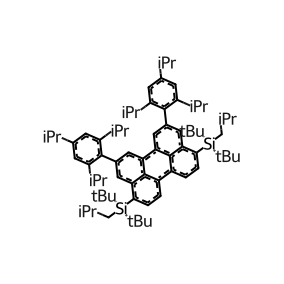 CC(C)C[Si](c1ccc2c3ccc([Si](CC(C)C)(C(C)(C)C)C(C)(C)C)c4cc(-c5c(C(C)C)cc(C(C)C)cc5C(C)C)cc(c5cc(-c6c(C(C)C)cc(C(C)C)cc6C(C)C)cc1c25)c43)(C(C)(C)C)C(C)(C)C